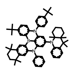 CC(C)(C)c1ccc(N2c3ccc(C(C)(C)C)cc3B3c4cc5c(cc4N(c4ccccc4)c4cc(N6c7ccccc7C(C)(C)C7(C)CCCCC67C)cc2c43)C(C)(C)CCC5(C)C)cc1